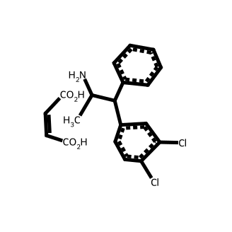 CC(N)C(c1ccccc1)c1ccc(Cl)c(Cl)c1.O=C(O)/C=C\C(=O)O